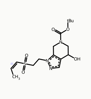 C/C=C\S(=O)(=O)CCn1ncc2c1CN(C(=O)OC(C)(C)C)CC2O